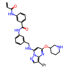 C=CC(=O)Nc1cccc(C(=O)Nc2cccc(CNc3cc(OC4CCCNC4)nc4c(C(C)C)cnn34)c2)c1